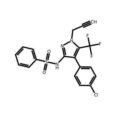 C#CCn1nc(NS(=O)(=O)c2ccccc2)c(-c2ccc(Cl)cc2)c1C(F)(F)F